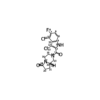 O=C(c1[nH]c2ccc(F)c(Cl)c2c1Cl)N1CCN2C(=O)CC[C@H]2C1